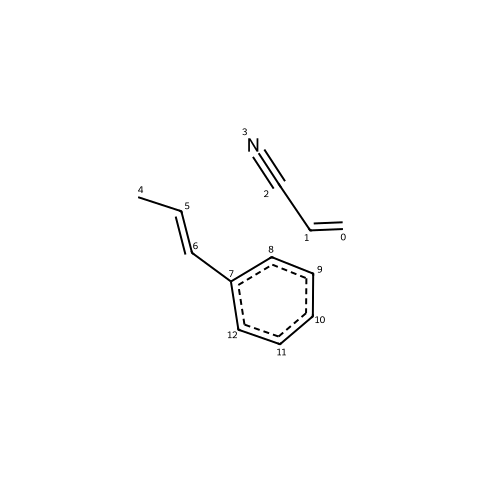 C=CC#N.CC=Cc1ccccc1